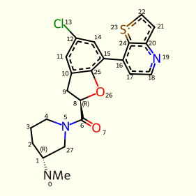 CN[C@@H]1CCCN(C(=O)[C@H]2Cc3cc(Cl)cc(-c4ccnc5ccsc45)c3O2)C1